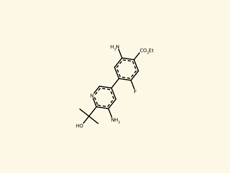 CCOC(=O)c1cc(F)c(-c2cnc(C(C)(C)O)c(N)c2)cc1N